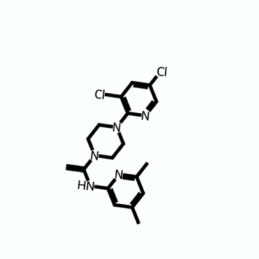 C=C(Nc1cc(C)cc(C)n1)N1CCN(c2ncc(Cl)cc2Cl)CC1